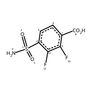 NS(=O)(=O)c1ccc(C(=O)O)c(F)c1F